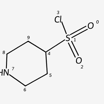 O=S(=O)(Cl)C1CCNCC1